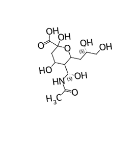 CC(=O)N[C@@H](O)C1C(O)CC(O)(C(=O)O)OC1C[C@H](O)CO